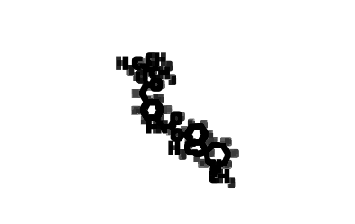 CCC1(c2cccc(OC(=O)Nc3ccc(CC(=O)OC(C)(C)C)cc3)c2)CCCCN(C)C1